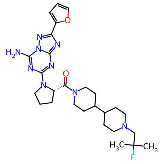 CC(C)(F)CN1CCC(C2CCN(C(=O)[C@@H]3CCCN3c3nc(N)n4nc(-c5ccco5)nc4n3)CC2)CC1